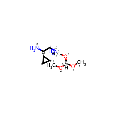 C1CC1.CO[SiH](OC)OC.NCCN